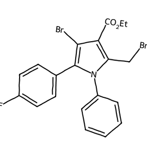 CCOC(=O)c1c(Br)c(-c2ccc(F)cc2)n(-c2ccccc2)c1CBr